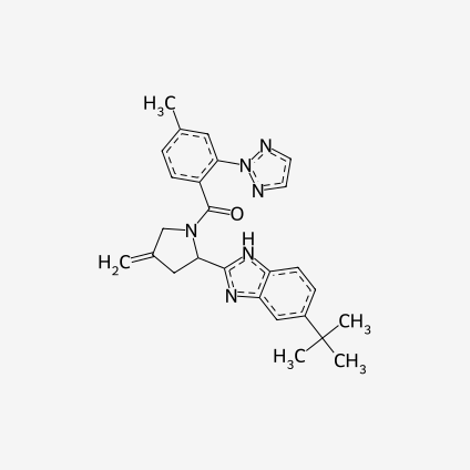 C=C1CC(c2nc3cc(C(C)(C)C)ccc3[nH]2)N(C(=O)c2ccc(C)cc2-n2nccn2)C1